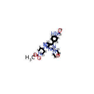 COC(=O)N1CCC(n2ncc3c(-c4ccc(NC=O)cc4)nc(N4CCOCC4)nc32)CC1